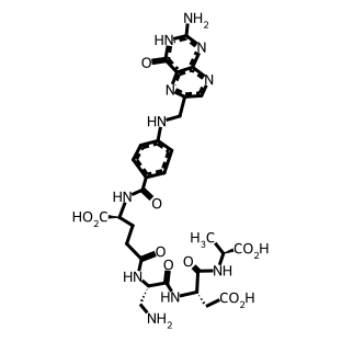 C[C@H](NC(=O)[C@H](CC(=O)O)NC(=O)[C@H](CN)NC(=O)CC[C@H](NC(=O)c1ccc(NCc2cnc3nc(N)[nH]c(=O)c3n2)cc1)C(=O)O)C(=O)O